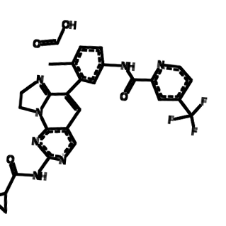 Cc1ccc(NC(=O)c2cc(C(F)(F)F)ccn2)cc1C1=Cc2cnc(NC(=O)C3CC3)nc2N2CCN=C12.O=CO